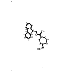 O=C(OCC1c2ccccc2-c2ccccc21)N1CCC/C(=N/O)CC1